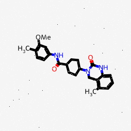 COc1cc(NC(=O)C2CCC(N3Cc4c(C)cccc4NC3=O)CC2)ccc1C